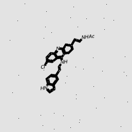 CC(=O)NCCC1CCc2c(nc3ccc(Cl)cc3c2NC[CH]c2ccc3[nH]ccc3c2)C1